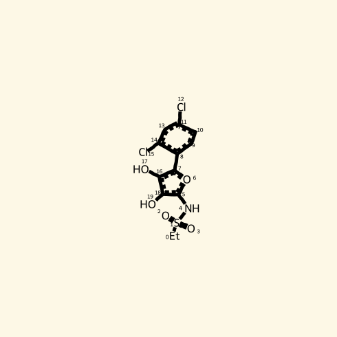 CCS(=O)(=O)Nc1oc(-c2ccc(Cl)cc2Cl)c(O)c1O